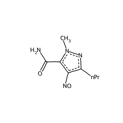 CCCc1nn(C)c(C(N)=O)c1N=O